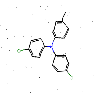 Cc1ccc(N(c2ccc(Cl)cc2)c2ccc(Cl)cc2)cc1